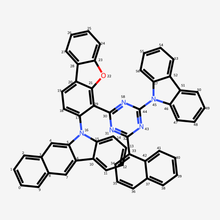 c1ccc2cc3c(cc2c1)c1ccccc1n3-c1ccc2c(oc3ccccc32)c1-c1nc(-c2cccc3ccccc23)nc(-n2c3ccccc3c3ccccc32)n1